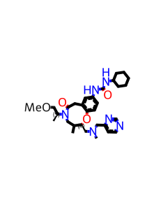 COC[C@H](C)N1CC(C)[C@H](CN(C)Cc2ccncn2)Oc2ccc(NC(=O)NC3CCCCC3)cc2CC1=O